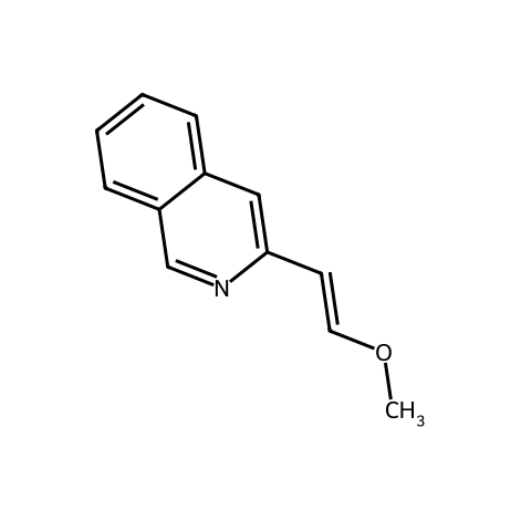 COC=Cc1cc2ccccc2cn1